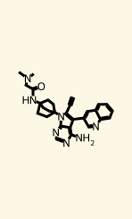 C#Cc1c(-c2cnc3ccccc3c2)c2c(N)ncnc2n1C12CCC(NC(=O)CN(C)C)(CC1)CC2